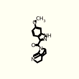 COc1ccc2c(C(=O)N3C4=CN5CCC4CC3C5)n[nH]c2c1